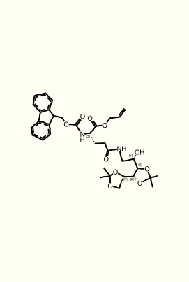 C=CCOC(=O)[C@H](CCC(=O)NC[C@H](O)[C@H]1OC(C)(C)O[C@@H]1[C@H]1COC(C)(C)O1)NC(=O)OCC1c2ccccc2-c2ccccc21